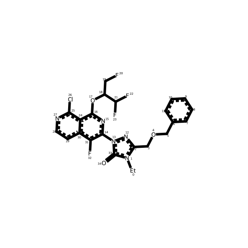 CCn1c(COCc2ccccc2)nn(-c2nc(OC(CF)C(F)F)c3c(Cl)nccc3c2F)c1=O